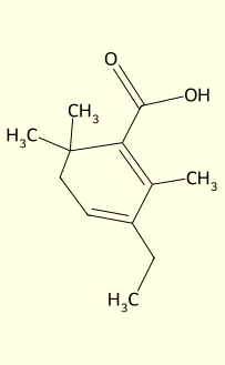 CCC1=CCC(C)(C)C(C(=O)O)=C1C